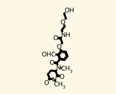 CN1C(=O)CCC(N(C)C(=O)c2cccc(OCC(=O)NCCOCCO)c2C=O)C1=O